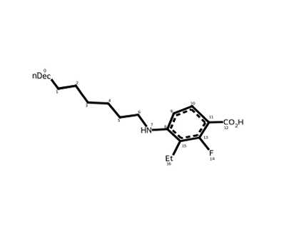 CCCCCCCCCCCCCCCCNc1ccc(C(=O)O)c(F)c1CC